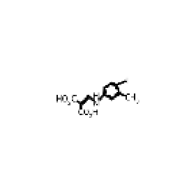 Cc1cc(NC=C(C(=O)O)C(=O)O)ccc1I